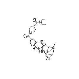 CCN(CC)C(=O)C1CCN(C(=O)c2ccc(NC(=O)NC34CC5C[C@@](C)(C3)C[C@](C)(C5)C4)c(F)c2)CC1